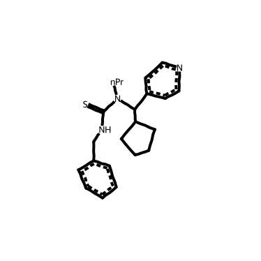 CCCN(C(=S)NCc1ccccc1)C(c1ccncc1)C1CCCC1